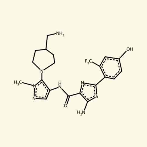 Cn1ncc(NC(=O)c2nc(-c3ccc(O)cc3C(F)(F)F)sc2N)c1N1CCC(CN)CC1